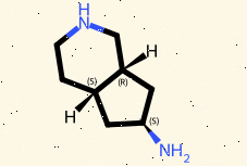 N[C@@H]1C[C@H]2CNCC[C@H]2C1